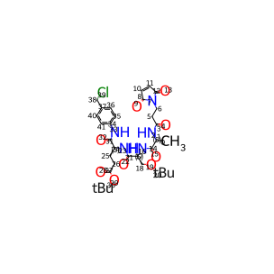 C[C@H](NC(=O)CCN1C(=O)C=CC1=O)C(=O)N[C@@H](COC(C)(C)C)C(=O)N[C@@H](CCC(=O)OC(C)(C)C)C(=O)Nc1ccc(CCl)cc1